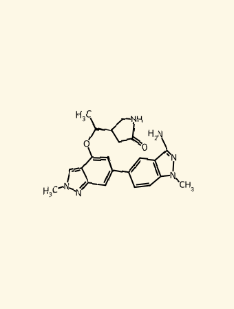 CC(Oc1cc(-c2ccc3c(c2)c(N)nn3C)cc2nn(C)cc12)[C@H]1CNC(=O)C1